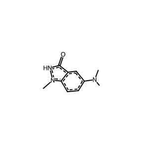 CN(C)c1ccc2c(c1)c(=O)[nH]n2C